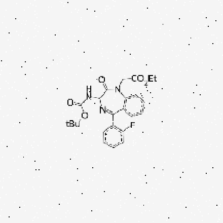 CCOC(=O)CN1C(=O)C(NC(=O)OC(C)(C)C)N=C(c2ccccc2F)c2ccccc21